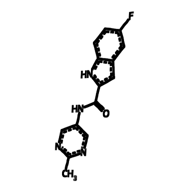 Cc1ncc(NC(=O)c2cc3cc(F)ccc3[nH]2)cn1